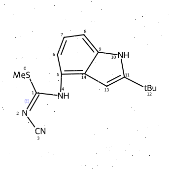 CS/C(=N/C#N)Nc1cccc2[nH]c(C(C)(C)C)cc12